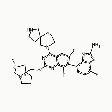 Nc1nc2c(-c3c(Cl)cc4c(N5CCCC6(CCNC6)C5)nc(OC[C@@]56CCCN5C[C@H](F)C6)nc4c3F)ccc(F)c2s1